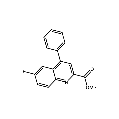 COC(=O)c1cc(-c2ccccc2)c2cc(F)ccc2n1